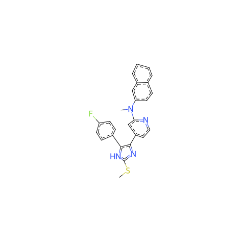 CSc1nc(-c2ccnc(N(C)c3ccc4ccccc4c3)c2)c(-c2ccc(F)cc2)[nH]1